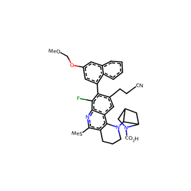 COCOc1cc(-c2c(CCC#N)cc3c4c(c(SC)nc3c2F)CCCN4C2C3CC2N(C(=O)O)C3)c2ccccc2c1